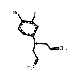 C=CCN(CC=C)c1ccc(Br)c(F)c1